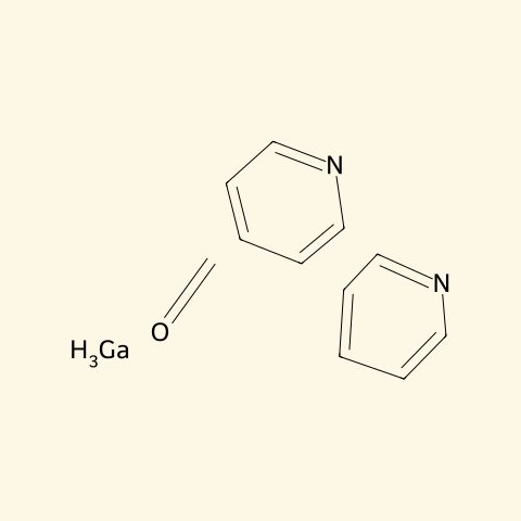 C=O.[GaH3].c1ccncc1.c1ccncc1